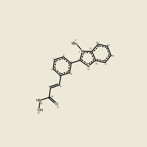 CC(C)(C)n1c(-c2cccc(C=CC(=O)NO)c2)nc2ccccc21